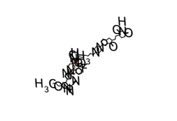 CCOc1cc(-c2ccc(N3CCC(CN(C)C(=O)CCCCCCN4CCN(c5ccc6c(c5)C(=O)C(CCC5CCC(=O)NC5=O)C6)CC4)(NC(=O)c4cc(F)ccc4F)CC3)nc2)c2c(C#N)cnn2c1